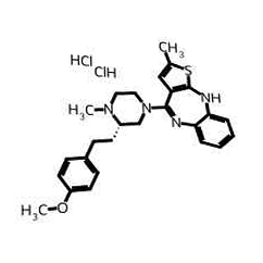 COc1ccc(CC[C@H]2CN(C3=Nc4ccccc4Nc4sc(C)cc43)CCN2C)cc1.Cl.Cl